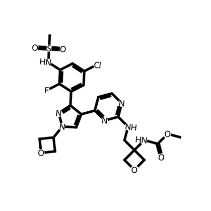 COC(=O)NC1(CNc2nccc(-c3cn(C4COC4)nc3-c3cc(Cl)cc(NS(C)(=O)=O)c3F)n2)COC1